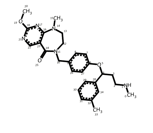 CNCCC(Oc1ccc(CN2CCN(C)c3nc(OC)ncc3C2=O)cc1)c1cccc(C)c1